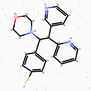 Fc1ccc(C(C(c2cccnc2)c2ccccn2)N2CCOCC2)cc1